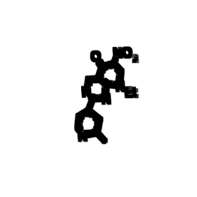 CCn1cc([N+](=O)[O-])c(=O)c2cnc(-c3ccnc(C)c3)nc21